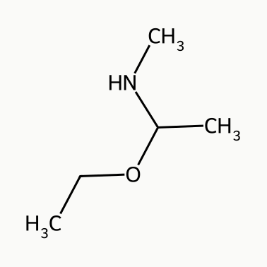 CCOC(C)NC